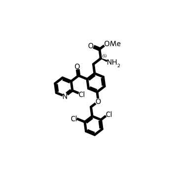 COC(=O)[C@@H](N)Cc1ccc(OCc2c(Cl)cccc2Cl)cc1C(=O)c1cccnc1Cl